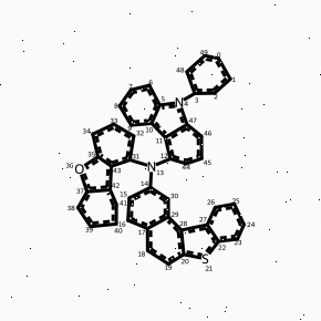 c1ccc(-n2c3ccccc3c3c(N(c4ccc5ccc6sc7ccccc7c6c5c4)c4cccc5oc6ccccc6c45)cccc32)cc1